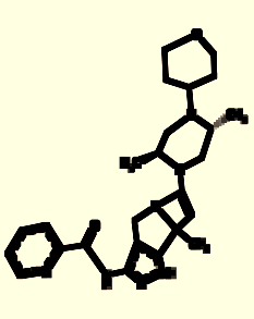 C[C@@H]1CN(C2=CC3(C)c4[nH]nc(NC(=O)c5ccccn5)c4CN23)[C@@H](C)CN1C1CCOCC1